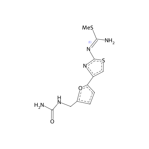 CS/C(N)=N/c1nc(-c2ccc(CNC(N)=O)o2)cs1